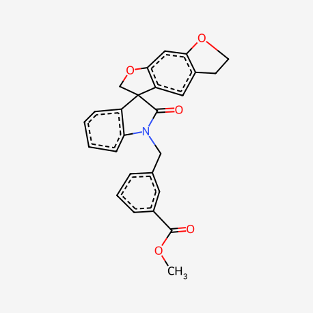 COC(=O)c1cccc(CN2C(=O)C3(COc4cc5c(cc43)CCO5)c3ccccc32)c1